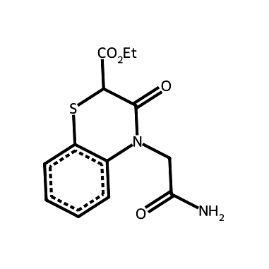 CCOC(=O)C1Sc2ccccc2N(CC(N)=O)C1=O